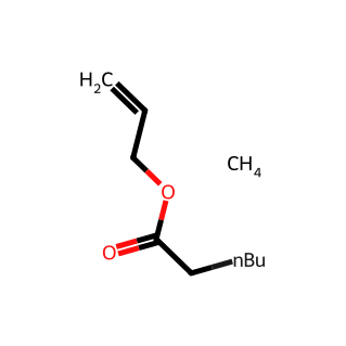 C.C=CCOC(=O)CCCCC